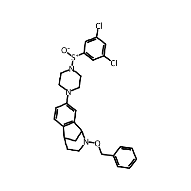 [O-][S+](c1cc(Cl)cc(Cl)c1)N1CCN(c2ccc3c(c2)C2CC3CCN2OCc2ccccc2)CC1